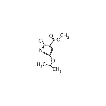 COC(=O)c1cc(OC(C)C)cnc1Cl